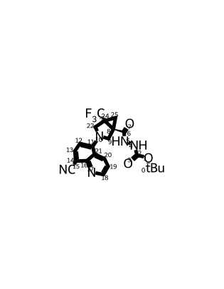 CC(C)(C)OC(=O)NNC(=O)[C@@]12CN(c3ccc(C#N)c4ncccc34)C[C@]1(C(F)(F)F)C2